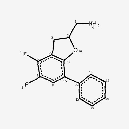 NCC1Cc2c(F)c(F)cc(-c3ccccc3)c2O1